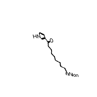 CCCCCCCCCCCCCCCCCC(=O)c1cc[nH]c1